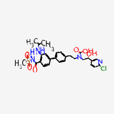 CC(C)Nc1cc(-c2ccc(CCN(C[C@H](O)c3ccc(Cl)nc3)C(=O)O)cc2)ccc1C(=O)NS(C)(=O)=O